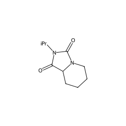 CC(C)N1C(=O)C2CCCCN2C1=O